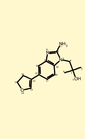 CC(C)(O)Cn1c(N)nc2cc(C3=COCC3)ccc21